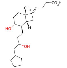 C[C@]12CC[C@@H](O)[C@H](CCC(O)CC3CCCC3)[C@H]1CC2=CCCC(=O)O